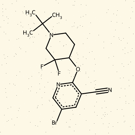 CC(C)(C)N1CCC(Oc2ncc(Br)cc2C#N)C(F)(F)C1